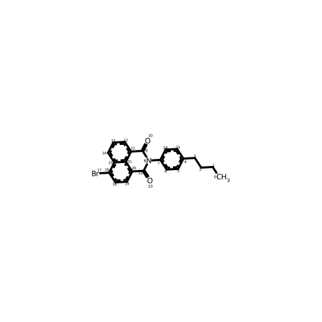 CCCCc1ccc(N2C(=O)c3cccc4c(Br)ccc(c34)C2=O)cc1